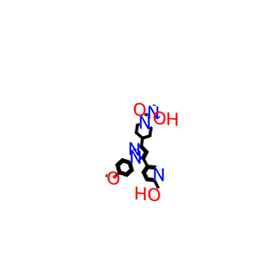 COc1ccc(-n2nc(C3CCN(C(=O)N(C)O)CC3)cc2-c2ccc(CO)nc2)cc1